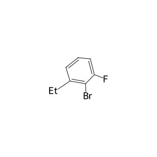 [CH2]Cc1cccc(F)c1Br